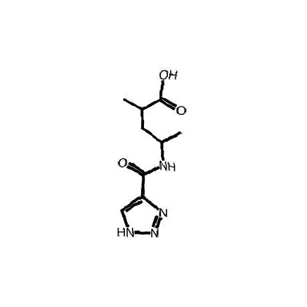 CC(CC(C)C(=O)O)NC(=O)c1c[nH]nn1